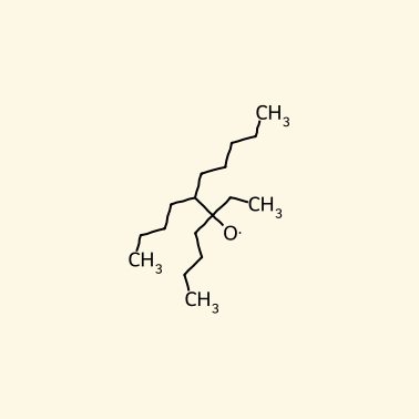 CCCCCC(CCCC)C([O])(CC)CCCC